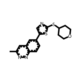 Cc1cc2cc(-c3cnc(SC4CCOCC4)s3)ccc2nn1